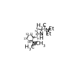 CCN(CC)C(C)c1ccc(Cc2ccccc2N(C)C)[nH]1